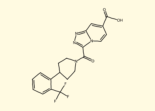 O=C(O)c1ccn2c(C(=O)N3CCC(c4ccccc4C(F)(F)F)CC3)nnc2c1